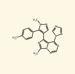 Cc1ccc(-c2c(-c3nc(C)n4ncnc(-n5cncn5)c34)cnn2C)cc1